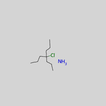 CCCC(Cl)(CCC)CCC.N